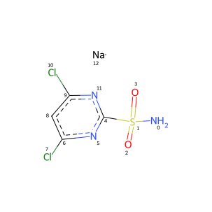 NS(=O)(=O)c1nc(Cl)cc(Cl)n1.[Na]